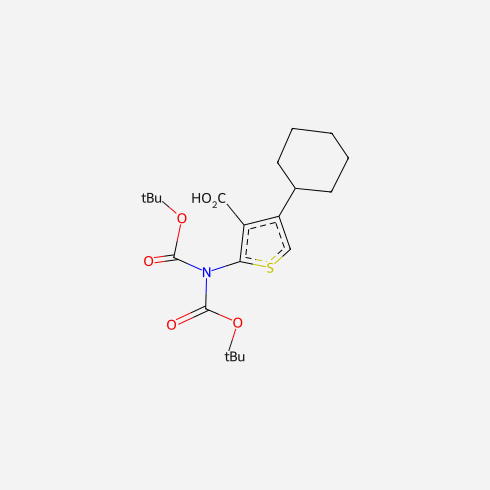 CC(C)(C)OC(=O)N(C(=O)OC(C)(C)C)c1scc(C2CCCCC2)c1C(=O)O